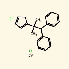 CC(C)(C1=CC=CC1)C(c1ccccc1)c1ccccc1.[Cl-].[Cl-].[Zr+2]